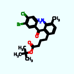 Cc1ccc(CCCC(=O)OC(C)(C)C)c(C(=O)c2ccc(Cl)c(Br)c2)c1N